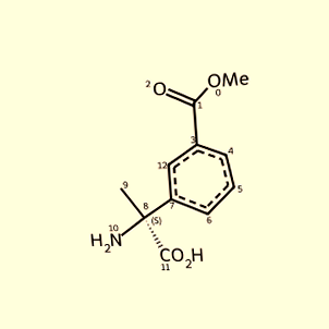 COC(=O)c1cccc([C@](C)(N)C(=O)O)c1